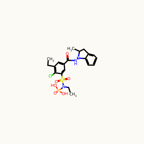 CCc1cc(C(=O)NN2c3ccccc3CC2C)cc(S(=O)(=O)N(CC)P(=O)(O)O)c1Cl